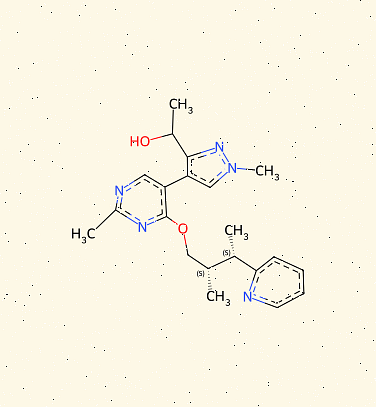 Cc1ncc(-c2cn(C)nc2C(C)O)c(OC[C@@H](C)[C@H](C)c2ccccn2)n1